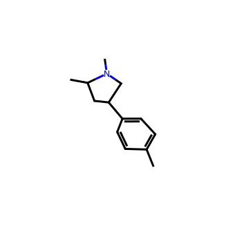 Cc1ccc(C2CC(C)N(C)C2)cc1